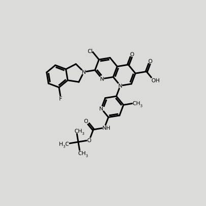 Cc1cc(NC(=O)OC(C)(C)C)ncc1-n1cc(C(=O)O)c(=O)c2cc(Cl)c(N3Cc4cccc(F)c4C3)nc21